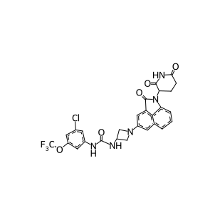 O=C1CCC(N2C(=O)c3cc(N4CC(NC(=O)Nc5cc(Cl)cc(OC(F)(F)F)c5)C4)cc4cccc2c34)C(=O)N1